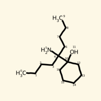 CCCCC(N)(CCCC)C1(O)CCCCC1